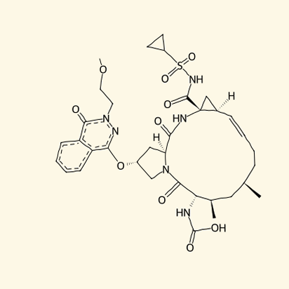 COCCn1nc(O[C@@H]2C[C@H]3C(=O)N[C@]4(C(=O)NS(=O)(=O)C5CC5)C[C@H]4/C=C\CC[C@@H](C)C[C@@H](C)[C@H](NC(=O)O)C(=O)N3C2)c2ccccc2c1=O